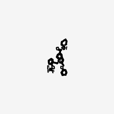 O=C(NN1CCCCC1)c1ccc2c(c1)cc(COc1ccccc1)n2Cc1ccccc1OC(F)(F)F